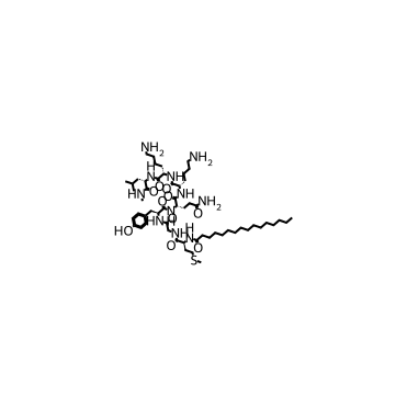 CCCCCCCCCCCCCCCC(=O)N[C@@H](CCSC)C(=O)NCC(=O)N[C@@H](Cc1ccc(O)cc1)C(=O)N[C@@H](CCC(N)=O)C(=O)N[C@@H](CCCCN)C(=O)N[C@@H](CCCCN)C(=O)N[C@@H](CC(C)C)C(=O)NC